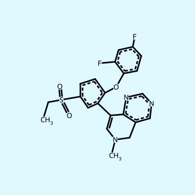 CCS(=O)(=O)c1ccc(Oc2ccc(F)cc2F)c(C2=CN(C)Cc3cncnc32)c1